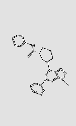 Cn1ncc2c(N3CCC[C@@H](C(=O)Nc4ccccc4)C3)nc(-c3cccnc3)nc21